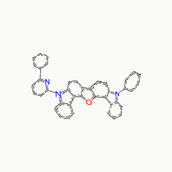 c1ccc(-c2cccc(-n3c4ccccc4c4c5oc6c(ccc7c6c6ccccc6n7-c6ccccc6)c5ccc43)n2)cc1